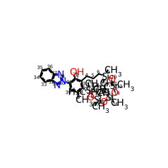 Cc1cc(CCC[Si](C)(C)O[Si](C)(C)O[Si](C)(C)O[Si](C)(C)O[Si](C)(C)C)c(O)c(-n2nc3ccccc3n2)c1